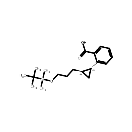 CC(C)(C)[Si](C)(C)OCCC[C@@H]1C[C@H]1c1ccccc1C(=O)O